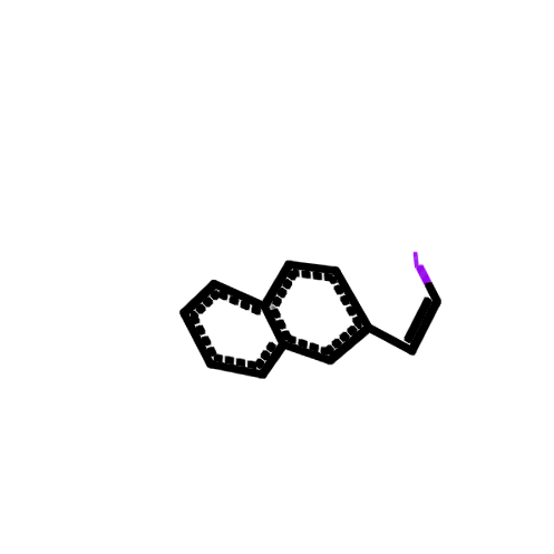 I/C=C\c1ccc2ccccc2c1